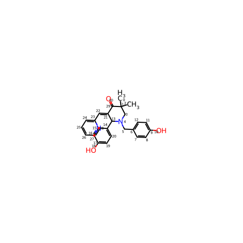 CC1(C)CN(Cc2ccc(O)cc2)C(c2ccc(O)cc2)/C(=C\c2ccccn2)C1=O